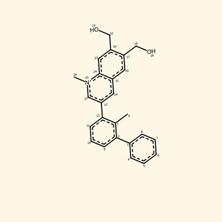 Cc1c(-c2ccccc2)cccc1-c1cc2cc(CO)c(CO)cc2[n+](C)c1